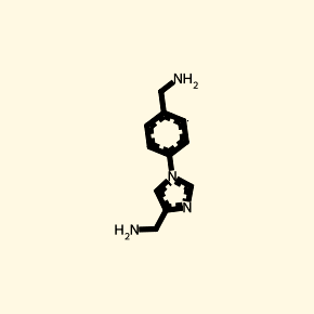 NCc1[c]cc(-n2cnc(CN)c2)cc1